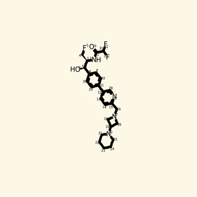 O=C(N[C@H](CF)[C@H](O)c1ccc(-c2ccc(CN3CC(N4CCCCC4)C3)nc2)cc1)C(F)F